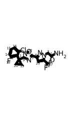 NC(=O)Cn1nc(-c2nc(C3(c4c(F)cccc4Cl)CC3)no2)cc1C(F)F